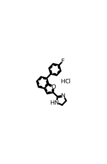 Cl.Fc1ccc(-c2cccc3cc(C4=NCCN4)oc23)cc1